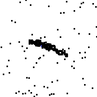 CCCCOc1ccc(/N=C/c2ccc(C#N)cc2)cc1